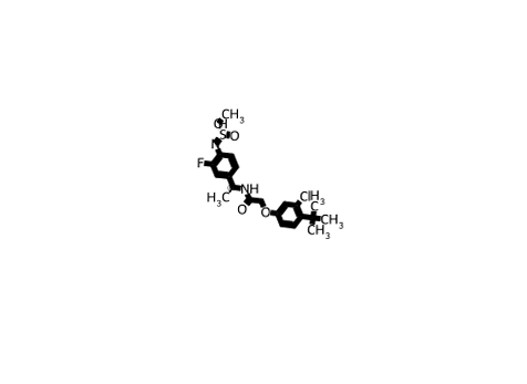 CO[SH](=O)=Nc1ccc([C@@H](C)NC(=O)COc2ccc(C(C)(C)C)c(Cl)c2)cc1F